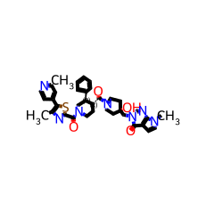 Cc1cc(-c2sc(C(=O)N3CC[C@@H](C(=O)N4CCC(O)(Cn5cnc6c(ccn6C)c5=O)CC4)[C@H](c4ccccc4)C3)nc2C)ccn1